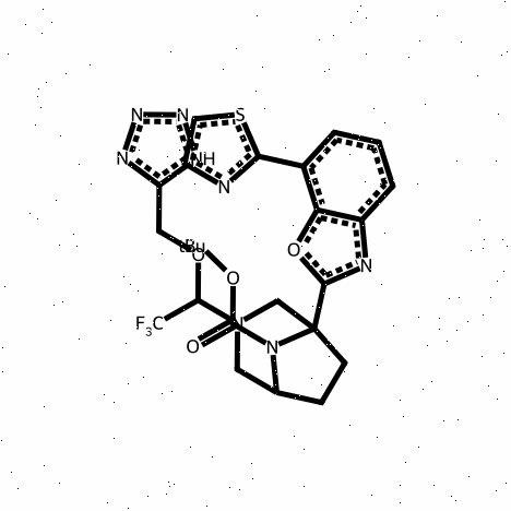 CC(C)(C)OC(=O)N1C2CCC1(c1nc3cccc(-c4nccs4)c3o1)CN(C(OCc1nnn[nH]1)C(F)(F)F)C2